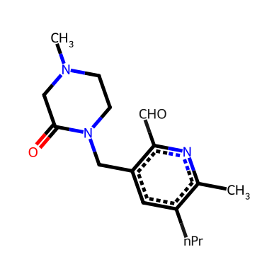 CCCc1cc(CN2CCN(C)CC2=O)c(C=O)nc1C